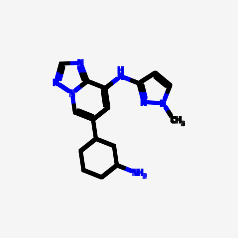 Cn1ccc(Nc2cc(C3CCCC(N)C3)cn3ncnc23)n1